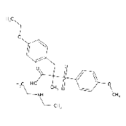 CCNCC.CCOc1ccc(CC(C)(C(=O)O)S(=O)(=O)c2ccc(OC)cc2)cc1